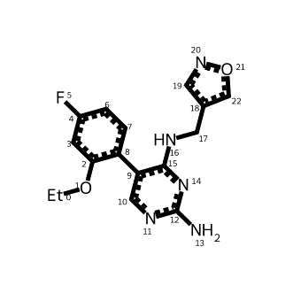 CCOc1cc(F)ccc1-c1cnc(N)nc1NCc1cnoc1